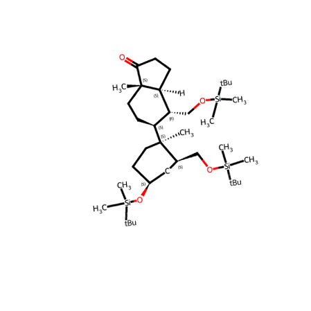 CC(C)(C)[Si](C)(C)OC[C@@H]1[C@@H]([C@]2(C)CC[C@H](O[Si](C)(C)C(C)(C)C)C[C@@H]2CO[Si](C)(C)C(C)(C)C)CC[C@]2(C)C(=O)CC[C@@H]12